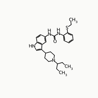 CCSc1ccccc1NC(=O)Nc1ccc2[nH]cc(C3CCN(C(CC)CC)CC3)c2c1